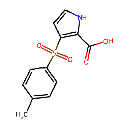 Cc1ccc(S(=O)(=O)c2cc[nH]c2C(=O)O)cc1